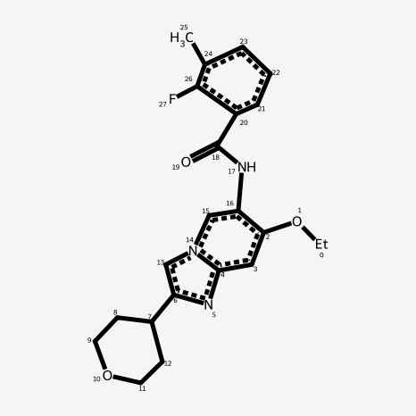 CCOc1cc2nc(C3CCOCC3)cn2cc1NC(=O)c1cccc(C)c1F